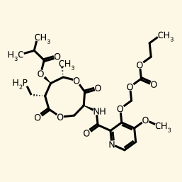 CCCOC(=O)OCOc1c(OC)ccnc1C(=O)N[C@H]1COC(=O)[C@H](CP)[C@@H](OC(=O)C(C)C)[C@H](C)OC1=O